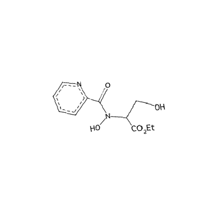 CCOC(=O)C(CO)N(O)C(=O)c1ccccn1